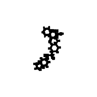 O=c1[nH]c2ccccc2c(=O)n1C[C@H]1CC[C@H](C(=O)Nc2ccc3ncsc3c2)CC1